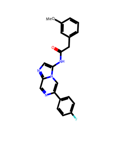 COc1cccc(CC(=O)Nc2cnc3cnc(-c4ccc(F)cc4)cn23)c1